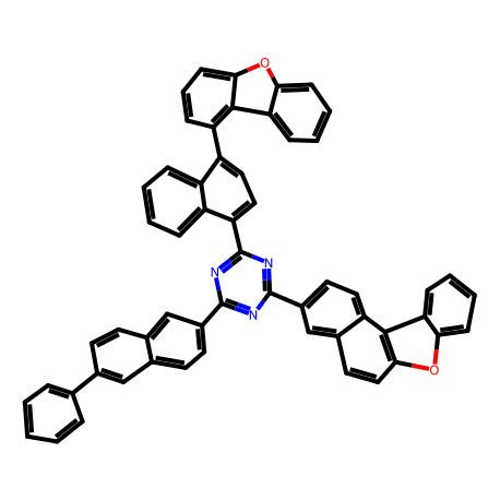 c1ccc(-c2ccc3cc(-c4nc(-c5ccc6c(ccc7oc8ccccc8c76)c5)nc(-c5ccc(-c6cccc7oc8ccccc8c67)c6ccccc56)n4)ccc3c2)cc1